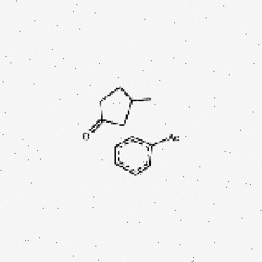 CC(=O)c1ccccc1.CC1CCC(=O)C1